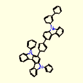 c1ccc(-c2cccc(-n3c4ccccc4c4cc(-c5ccc(-c6cc7c(c8ccccc8n7-c7ccccc7)c7c8ccccc8n(-c8ccccc8)c67)cc5)ccc43)c2)cc1